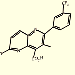 Cc1c(-c2cccc(C(F)(F)F)c2)nc2ccc(Cl)nc2c1C(=O)O